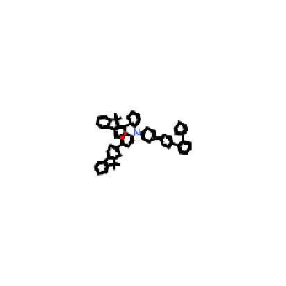 CC1(C)c2ccccc2-c2ccc(-c3ccc(N(c4ccc(-c5ccc(-c6ccccc6-c6ccccc6)cc5)cc4)c4ccccc4-c4cccc5c4C(C)(C)c4ccccc4-5)cc3)cc21